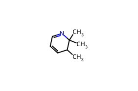 CC1C=CC=NC1(C)C